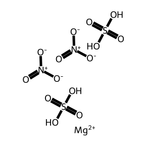 O=S(=O)(O)O.O=S(=O)(O)O.O=[N+]([O-])[O-].O=[N+]([O-])[O-].[Mg+2]